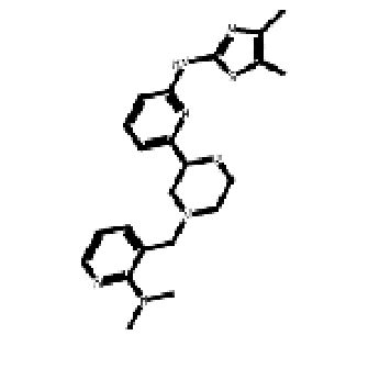 Cc1nc(Nc2cccc(C3CN(Cc4cccnc4N(C)C)CCO3)n2)sc1C